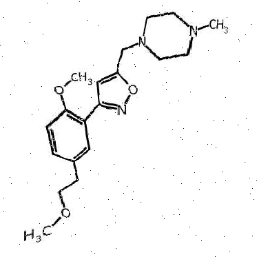 COCCc1ccc(OC)c(-c2cc(CN3CCN(C)CC3)on2)c1